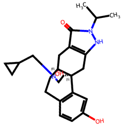 CC(C)n1[nH]c2c(c1=O)C[C@]1(O)C3Cc4ccc(O)cc4[C@]1(CCN3CC1CC1)C2